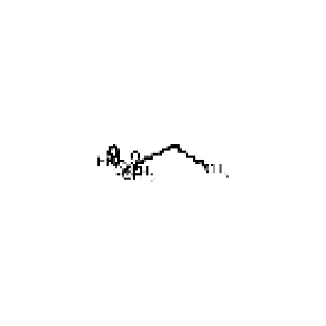 CCCCCCCC/C=C\CCCCCCCC(=O)N(C)[C@@H](Cc1c[nH]c2ccccc12)C(=O)O